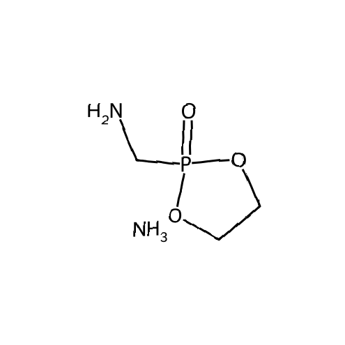 N.NCP1(=O)OCCO1